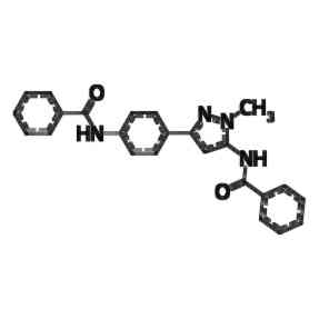 Cn1nc(-c2ccc(NC(=O)c3ccccc3)cc2)cc1NC(=O)c1ccccc1